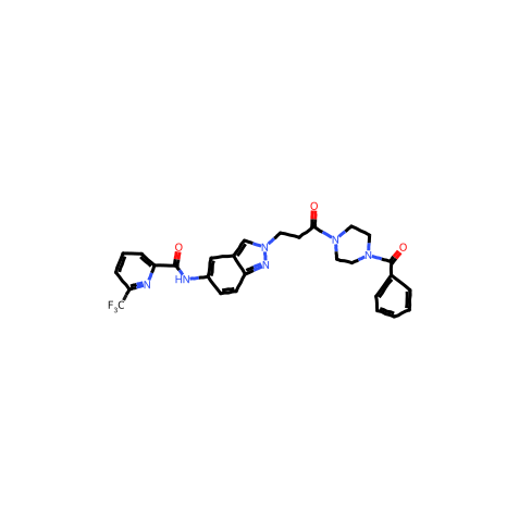 O=C(Nc1ccc2nn(CCC(=O)N3CCN(C(=O)c4ccccc4)CC3)cc2c1)c1cccc(C(F)(F)F)n1